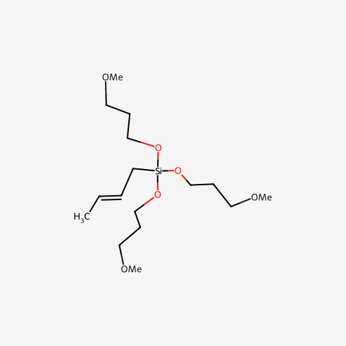 CC=CC[Si](OCCCOC)(OCCCOC)OCCCOC